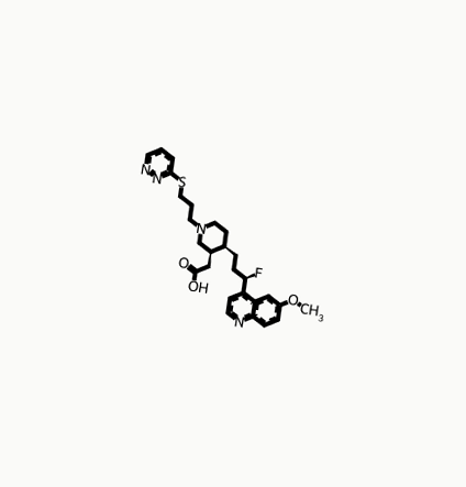 COc1ccc2nccc([C@H](F)CC[C@@H]3CCN(CCCSc4cccnn4)C[C@@H]3CC(=O)O)c2c1